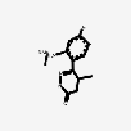 CC(=O)c1ccc(C2=NNC(=O)CC2C)c(N)c1.CNC